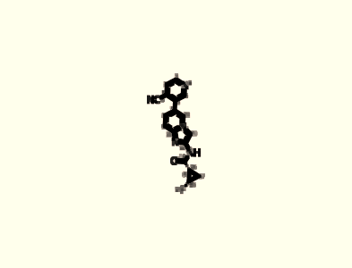 N#Cc1ccncc1-c1ccc2nc(NC(=O)[C@@H]3C[C@@H]3F)cn2c1